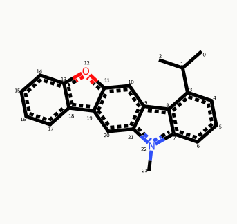 CC(C)c1cccc2c1c1cc3oc4ccccc4c3cc1n2C